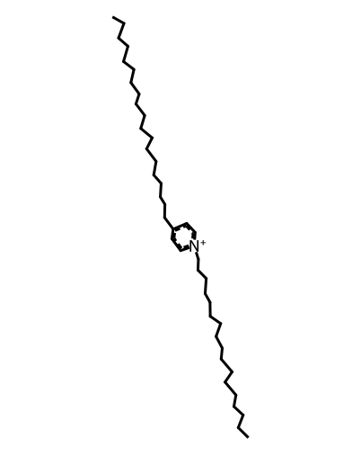 CCCCCCCCCCCCCCCCCCCc1cc[n+](CCCCCCCCCCCCCCCCC)cc1